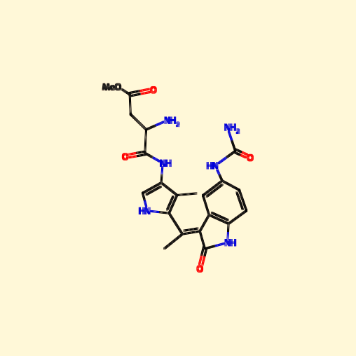 COC(=O)CC(N)C(=O)Nc1c[nH]c(C(C)=C2C(=O)Nc3ccc(NC(N)=O)cc32)c1C